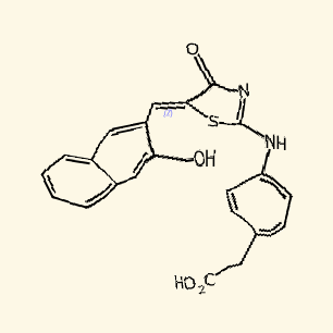 O=C(O)Cc1ccc(NC2=NC(=O)/C(=C/c3cc4ccccc4cc3O)S2)cc1